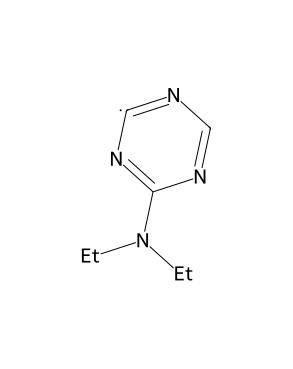 CCN(CC)c1n[c]ncn1